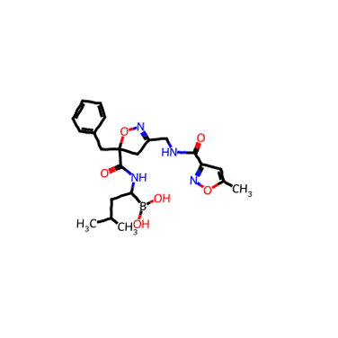 Cc1cc(C(=O)NCC2=NOC(Cc3ccccc3)(C(=O)NC(CC(C)C)B(O)O)C2)no1